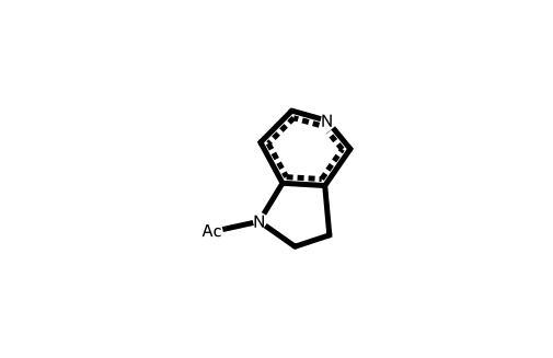 CC(=O)N1CCc2cnccc21